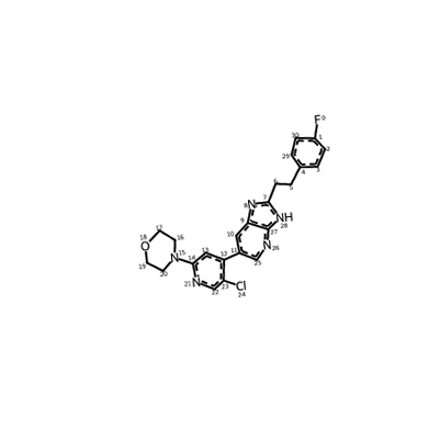 Fc1ccc(CCc2nc3cc(-c4cc(N5CCOCC5)ncc4Cl)cnc3[nH]2)cc1